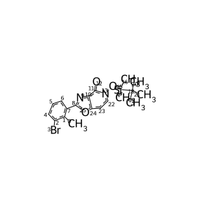 Cc1c(Br)cccc1-c1nc2c(=O)n(O[Si](C)(C)C(C)(C)C)ccc2o1